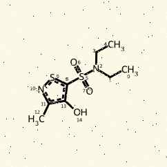 CCN(CC)S(=O)(=O)c1snc(C)c1O